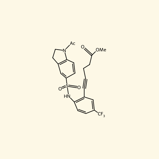 COC(=O)CCC#Cc1cc(C(F)(F)F)ccc1NS(=O)(=O)c1ccc2c(c1)CCN2C(C)=O